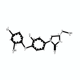 CCc1ccc(Oc2ccc(N3C[C@H](CO)OC3=O)cc2F)c(O)c1